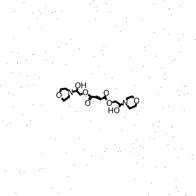 O=C(/C=C/C(=O)OCC(O)N1CCOCC1)OCC(O)N1CCOCC1